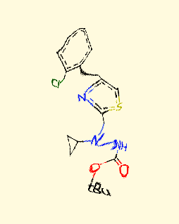 CC(C)(C)OC(=O)NN(c1nc(-c2ccccc2Cl)cs1)C1CC1